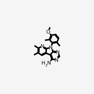 COc1ccc(C)c(-n2c3nc(C)c(C)cc3c3c(N)ncnc32)c1C